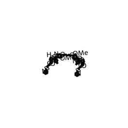 C=C1C[C@@H](C2OCCN2C(=O)OCCSSc2ccccn2)N(C(=O)c2cc(OC)c(OCCCCCOc3cc(N)c(C(=O)N4CC(=C)C[C@H]4C4OCCN4C(=O)OCCSSc4ccccn4)cc3OC)cc2N)C1